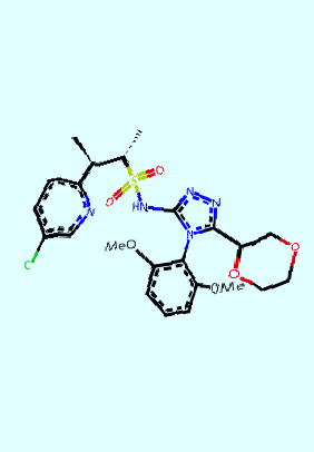 COc1cccc(OC)c1-n1c(NS(=O)(=O)[C@@H](C)[C@H](C)c2ccc(Cl)cn2)nnc1C1COCCO1